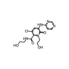 O=C(NCCO)c1c(Cl)cc(Nc2ccncn2)c(=O)n1CCO